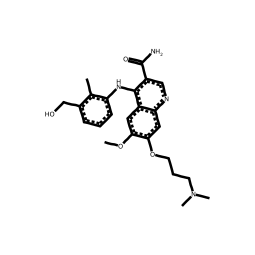 COc1cc2c(Nc3cccc(CO)c3C)c(C(N)=O)cnc2cc1OCCCN(C)C